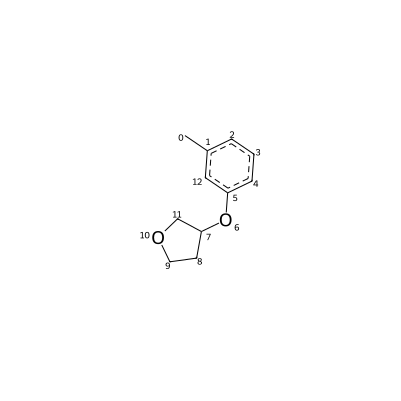 Cc1cccc(OC2CCOC2)c1